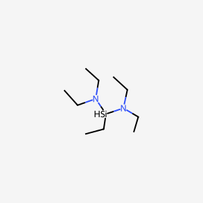 CCN(CC)[SiH](CC)N(CC)CC